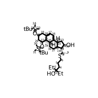 CCC(O)(CC)CCCS[C@@H](C)[C@H]1[C@@H](O)C[C@H]2C3=CC=C4C[C@@H](O[Si](C)(C)C(C)(C)C)C[C@H](O[Si](C)(C)C(C)(C)C)[C@]4(C)[C@H]3CC[C@]12C